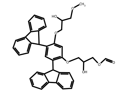 COCC(O)COc1cc(OCC(O)COC=O)c(C2c3ccccc3-c3ccccc32)cc1C1c2ccccc2-c2ccccc21